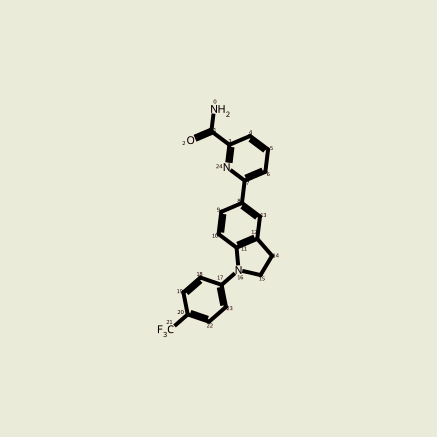 NC(=O)c1cccc(-c2ccc3c(c2)CCN3c2ccc(C(F)(F)F)cc2)n1